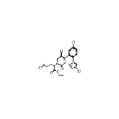 CC(C)OCCC(C(=O)OC(C)(C)C)N1CC(=O)N(c2cc(Cl)ccc2-n2cc(Cl)nn2)CC1=O